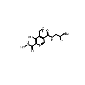 CCCCC(CC)CNC(=O)c1cnc(C(=O)NO)c(O)c1CO